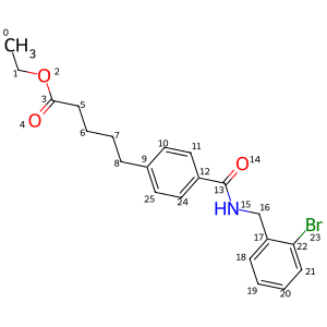 CCOC(=O)CCCCc1ccc(C(=O)NCc2ccccc2Br)cc1